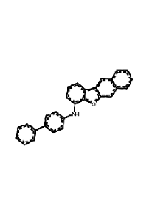 c1ccc(-c2ccc(Nc3cccc4c3oc3cc5ccccc5cc34)cc2)cc1